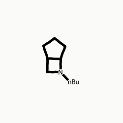 CCCCN1CC2CCCC21